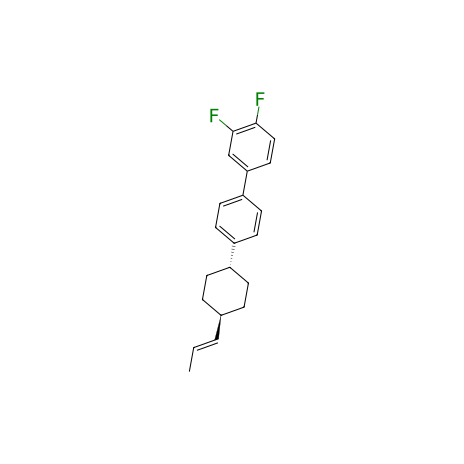 CC=C[C@H]1CC[C@H](c2ccc(-c3ccc(F)c(F)c3)cc2)CC1